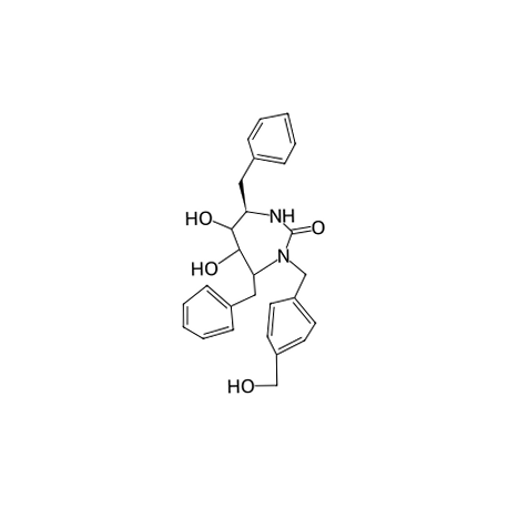 O=C1N[C@H](Cc2ccccc2)C(O)C(O)C(Cc2ccccc2)N1Cc1ccc(CO)cc1